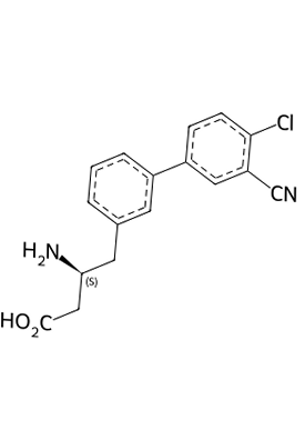 N#Cc1cc(-c2cccc(C[C@H](N)CC(=O)O)c2)ccc1Cl